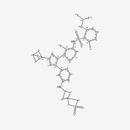 O=S1(=O)CC2(CC(Nc3nccc(-c4sc(C56CC(C5)C6)nc4-c4cccc(NS(=O)(=O)c5c(F)cccc5OC(F)F)c4F)n3)C2)C1